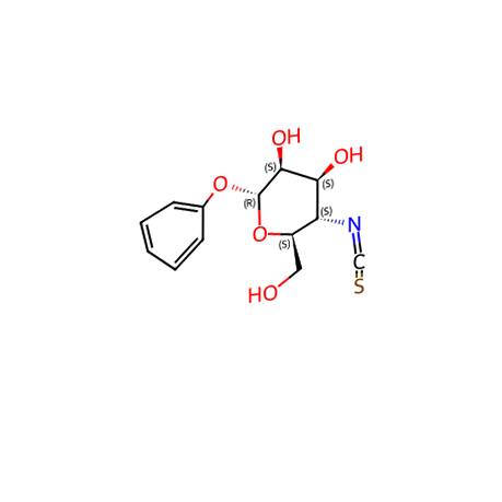 OC[C@H]1O[C@H](Oc2ccccc2)[C@@H](O)[C@@H](O)[C@@H]1N=C=S